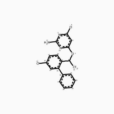 Nc1nc(Cl)cc(OC(c2ccc(Cl)cc2-c2ccccc2)C(F)(F)F)n1